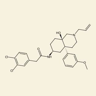 C=CCN1CC[C@@]2(c3cccc(OC)c3)C[C@@H](NC(=O)Cc3ccc(Cl)c(Cl)c3)CC[C@]2(O)C1